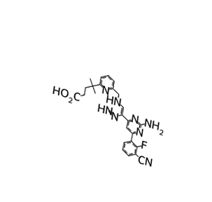 CC(C)(CCC(=O)O)c1cccc(CN/C=C(\N=N)c2cc(-c3cccc(C#N)c3F)nc(N)n2)n1